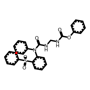 O=C(NCNC(=O)N(c1ccccc1)c1ccccc1S(=O)(=O)c1ccccc1)Oc1ccccc1